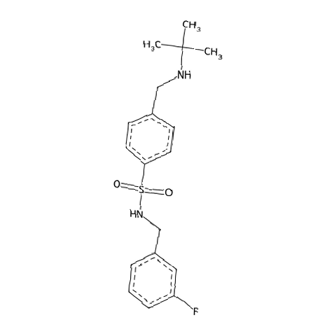 CC(C)(C)NCc1ccc(S(=O)(=O)NCc2cccc(F)c2)cc1